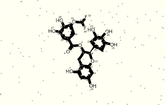 O=C(OC1Cc2c(O)cc(O)cc2O[C@@H]1c1cc(O)c(O)c(O)c1)c1cc(O)c(O)c(OC(F)F)c1